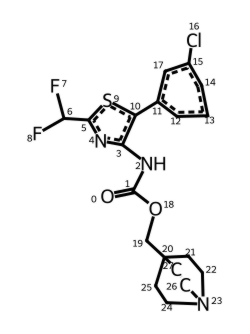 O=C(Nc1nc(C(F)F)sc1-c1cccc(Cl)c1)OCC12CCN(CC1)CC2